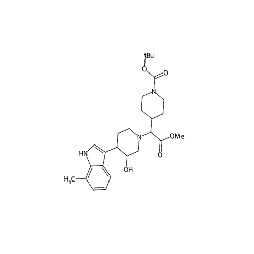 COC(=O)C(C1CCN(C(=O)OC(C)(C)C)CC1)N1CCC(c2c[nH]c3c(C)cccc23)C(O)C1